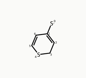 [S]C1=CCSC=C1